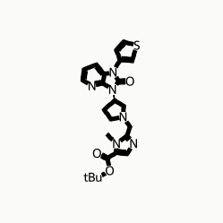 Cn1c(C(=O)OC(C)(C)C)cnc1CN1CC[C@H](n2c(=O)n(-c3ccsc3)c3cccnc32)C1